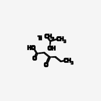 CC(C)O.CCCC(=O)CC(=O)O.[Ti]